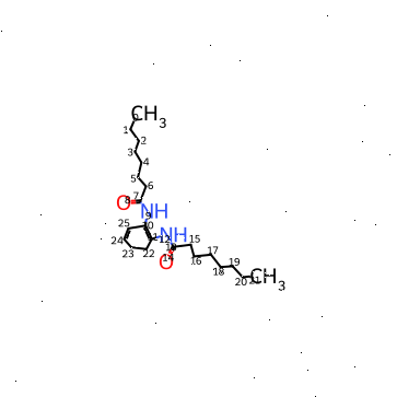 CCCCCCCC(=O)NC1=C(NC(=O)CCCCCCC)CCC=C1